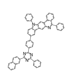 c1ccc(-c2nc(-c3ccc(-c4ccc5c(c4)c4cc6nc(-c7ccccc7)c7ccccc7c6cc4n5-c4ccccc4)cc3)nc(-c3ccc4ccccc4c3)n2)cc1